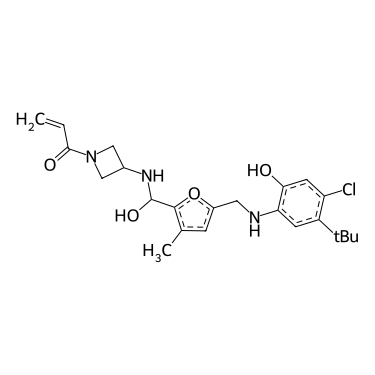 C=CC(=O)N1CC(NC(O)c2oc(CNc3cc(C(C)(C)C)c(Cl)cc3O)cc2C)C1